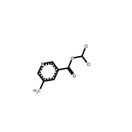 Cc1cncc(C(=O)OC(Cl)Cl)c1